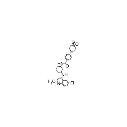 O=C(N[C@@H]1CCC[C@H](Nc2cc(C(F)(F)F)nc3ccc(Cl)cc23)C1)c1ccc(N2CCS(=O)(=O)CC2)cc1